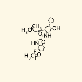 CN(C)CC#Cc1cc(C2CCCC2)c(O)cc1NC(=O)[C@H]1CNc2cc(OC(C)(F)F)ccc2O1